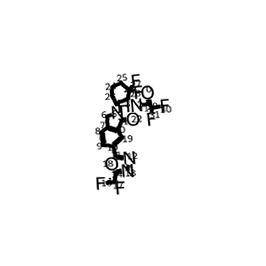 O=C(N[C@@H]1[C@H](N2Cc3ccc(-c4nnc(C(F)F)o4)cc3C2=O)CCCC1(F)F)C(F)F